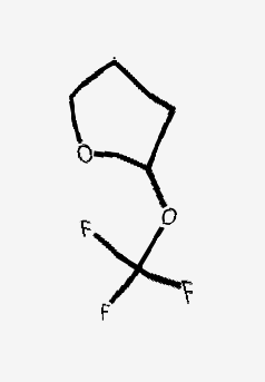 FC(F)(F)OC1C[CH]CO1